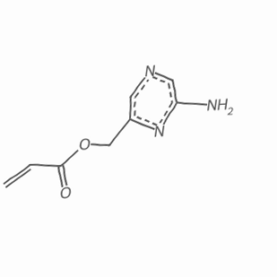 C=CC(=O)OCc1cncc(N)n1